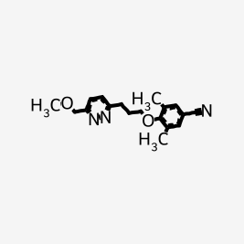 COCc1ccc(CCCOc2c(C)cc(C#N)cc2C)nn1